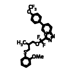 COc1ccccc1SCC(C)COC(F)(F)c1nnc2ccc(-c3ccc(OC(F)(F)F)cc3)cn12